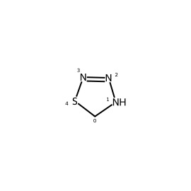 C1NN=NS1